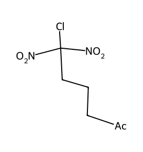 CC(=O)CCCC(Cl)([N+](=O)[O-])[N+](=O)[O-]